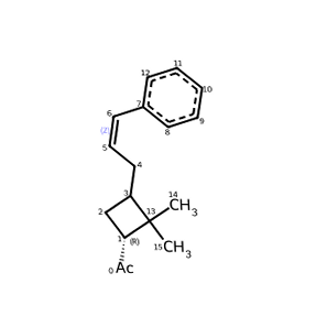 CC(=O)[C@@H]1CC(C/C=C\c2ccccc2)C1(C)C